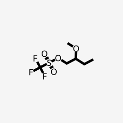 CCC(COS(=O)(=O)C(F)(F)F)OC